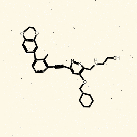 Cc1c(C#Cc2cc(OCC3CCCCC3)c(CNCCO)nn2)cccc1-c1ccc2c(c1)OCCO2